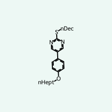 CCCCCCCCCCSc1ncc(-c2ccc(OCCCCCCC)cc2)cn1